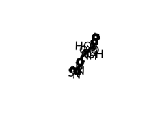 O=C(NCC1CCN(c2ncnc3sccc23)CC1)[C@H](O)[C@@H](O)C(=O)N1Cc2ccccc2C1